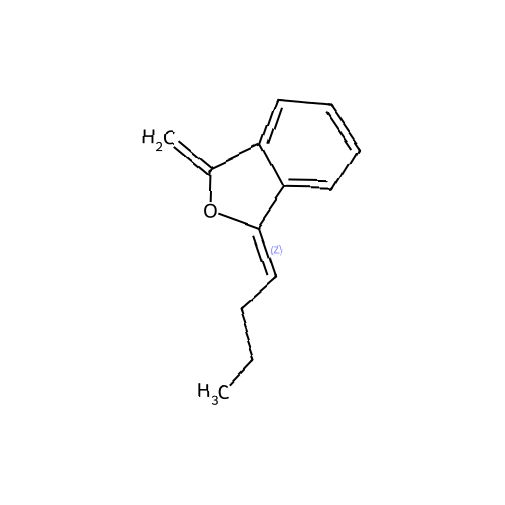 C=c1o/c(=C\CCC)c2ccccc12